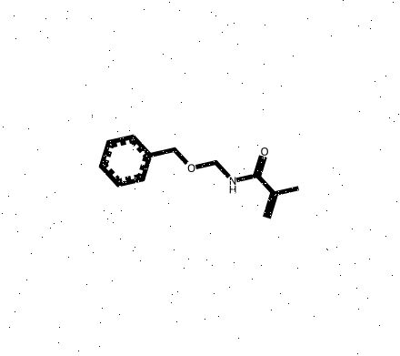 C=C(C)C(=O)NCOCc1ccccc1